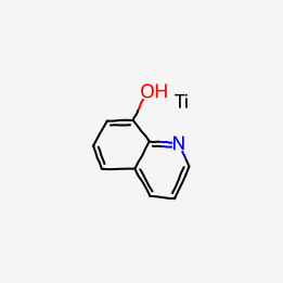 Oc1cccc2cccnc12.[Ti]